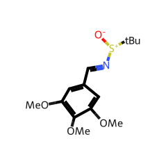 COc1cc(C=N[S+]([O-])C(C)(C)C)cc(OC)c1OC